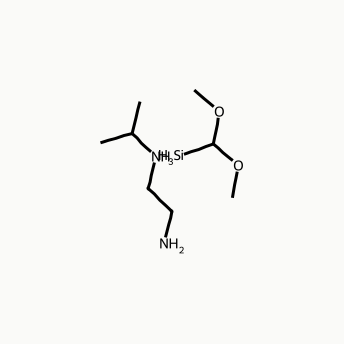 CC(C)NCCN.COC([SiH3])OC